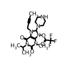 CC#CCN1c2c(n(C)c(=O)n(C(C)C)c2=O)N(OC(=O)C(F)(F)F)C1N1CCNCC1